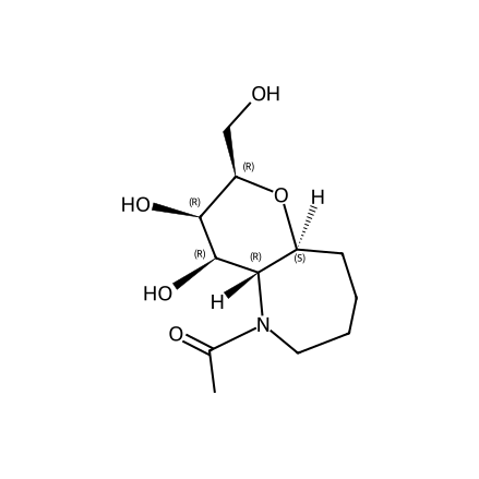 CC(=O)N1CCCC[C@@H]2O[C@H](CO)[C@H](O)[C@H](O)[C@H]21